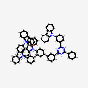 C1=Cc2c(c3ccccc3n2-c2cccc(-c3nc(-c4ccccc4)nc(-c4cccc(-c5ccc(-n6c7ccccc7c7ccccc76)c(-c6cccc(-n7c8ccccc8c8ccc(-n9c%10ccccc%10c%10ccccc%109)cc87)c6)c5)c4)n3)c2)CC1